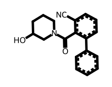 N#Cc1cccc(-c2ccccc2)c1C(=O)N1CCCC(O)C1